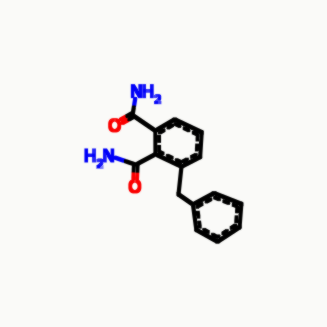 NC(=O)c1cccc(Cc2ccccc2)c1C(N)=O